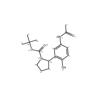 CC(=O)Nc1ccc(O)c(C2CCCN2C(=O)OC(C)(C)C)c1